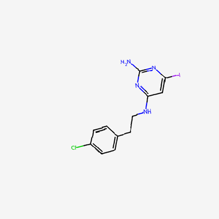 Nc1nc(I)cc(NCCc2ccc(Cl)cc2)n1